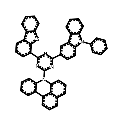 c1ccc(-n2c3ccccc3c3cc(-c4nc(-c5cccc6c5sc5ccccc56)nc(N5c6ccccc6-c6cccc7cccc5c67)n4)ccc32)cc1